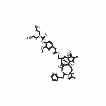 C=C(C)[C@@]1(C)C[C@@H](C)[C@@]2(CC)[C@@H](CC(COC(=O)Cc3ccc(OC(=O)N(CCN)CCN)c(OC)c3)=C[C@]3(O)C(=O)C(C)=C[C@@H]23)[C@H](C)OC(Cc2ccccc2)O1